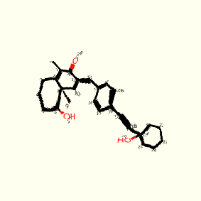 CC1=C2CCC[C@H](O)[C@@]2(C)C/C(=C\c2ccc(C#CC3(O)CCCCC3)cc2)C1=O